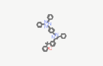 CC1(C)c2ccccc2Oc2ccc(-c3cc(-c4ccccc4)nc(-c4ccc(-c5nc(-c6ccccc6)nc(-c6ccccc6)n5)cc4)n3)cc21